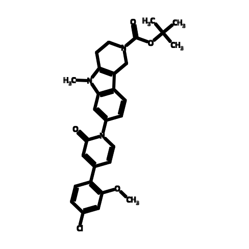 COc1cc(Cl)ccc1-c1ccn(-c2ccc3c4c(n(C)c3c2)CCN(C(=O)OC(C)(C)C)C4)c(=O)c1